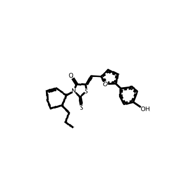 CCCC1CCC=CC1N1C(=O)/C(=C/c2ccc(-c3ccc(O)cc3)o2)SC1=S